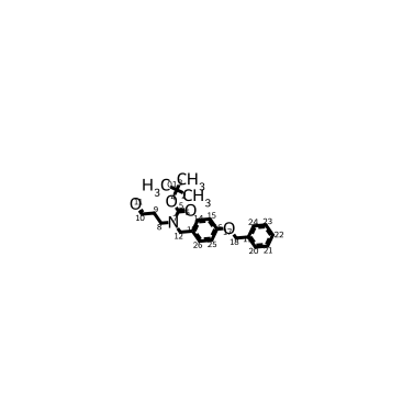 CC(C)(C)OC(=O)N(CCC=O)Cc1ccc(OCc2ccccc2)cc1